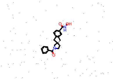 O=C(NO)c1ccc2c(c1)C[C@@]1(CCN(C(=O)c3ccccc3)C1)C2